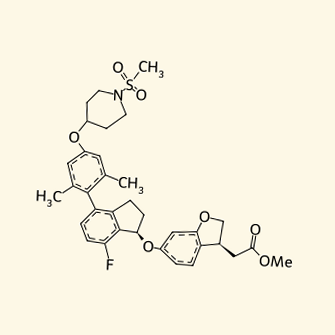 COC(=O)C[C@@H]1COc2cc(O[C@@H]3CCc4c(-c5c(C)cc(OC6CCN(S(C)(=O)=O)CC6)cc5C)ccc(F)c43)ccc21